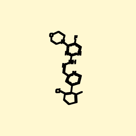 CC1=CCCC(Cl)=C1c1ccnc(/C=N\Nc2ncc(F)c(N3CCOCC3)n2)c1